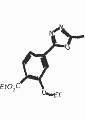 CCOC(=O)c1ccc(-c2nnc(C)o2)cc1OCC